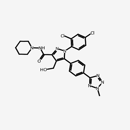 Cn1nnc(-c2ccc(-c3c(CO)c(C(=O)NN4CCCCC4)nn3-c3ccc(Cl)cc3Cl)cc2)n1